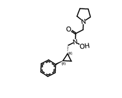 O=C(CN1CCCC1)N(O)C[C@@H]1C[C@H]1c1ccccc1